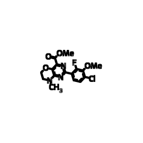 COC(=O)c1nc(-c2ccc(Cl)c(OC)c2F)nc2c1OCCN2C